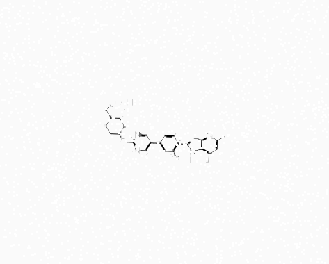 Cc1cc(C)c2[nH]c(-c3ccc(-c4cnc(OC5CCC(CC(=O)O)CC5)nc4)cc3F)nc2n1